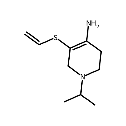 C=CSC1=C(N)CCN(C(C)C)C1